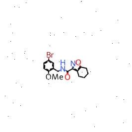 COc1ccc(Br)cc1CNC(=O)c1noc2c1CCCC2